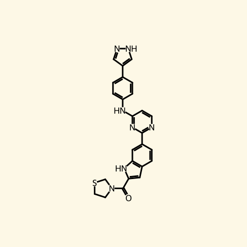 O=C(c1cc2ccc(-c3nccc(Nc4ccc(-c5cn[nH]c5)cc4)n3)cc2[nH]1)N1CCSC1